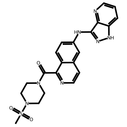 CS(=O)(=O)N1CCN(C(=O)c2nccc3cc(Nc4n[nH]c5cccnc45)ccc23)CC1